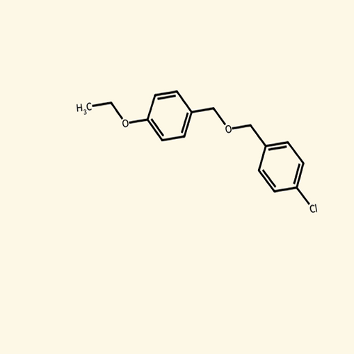 CCOc1ccc(COCc2ccc(Cl)cc2)cc1